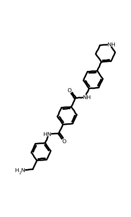 NCc1ccc(NC(=O)c2ccc(C(=O)Nc3ccc(C4=CCNCC4)cc3)cc2)cc1